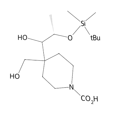 C[C@H](O[Si](C)(C)C(C)(C)C)C(O)C1(CO)CCN(C(=O)O)CC1